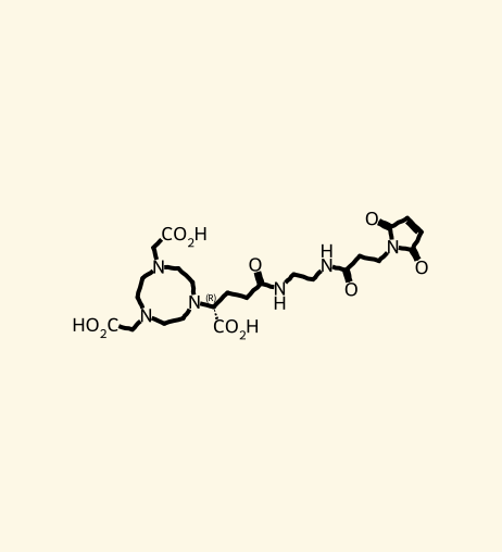 O=C(O)CN1CCN(CC(=O)O)CCN([C@H](CCC(=O)NCCNC(=O)CCN2C(=O)C=CC2=O)C(=O)O)CC1